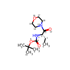 CC[C@H](NC(=O)OC(C)(C)C)C(=O)N1CCOCC1